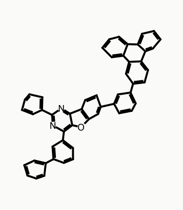 c1ccc(-c2cccc(-c3nc(-c4ccccc4)nc4c3oc3cc(-c5cccc(-c6ccc7c8ccccc8c8ccccc8c7c6)c5)ccc34)c2)cc1